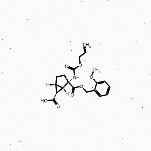 C=CCOC(=O)N[C@@]1(C(=O)OCc2ccccc2OC)CC[C@H]2[C@H](C(=O)O)[C@H]21